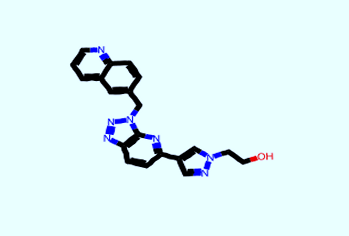 OCCn1cc(-c2ccc3nnn(Cc4ccc5ncccc5c4)c3n2)cn1